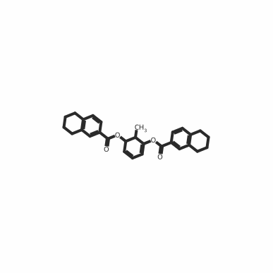 CC1C(OC(=O)c2ccc3c(c2)CCCC3)=CC=CC1OC(=O)c1ccc2c(c1)CCCC2